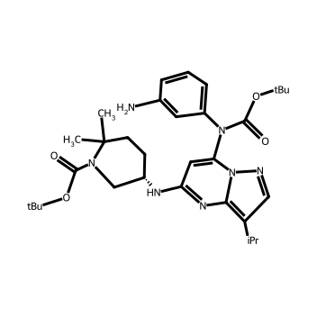 CC(C)c1cnn2c(N(C(=O)OC(C)(C)C)c3cccc(N)c3)cc(N[C@H]3CCC(C)(C)N(C(=O)OC(C)(C)C)C3)nc12